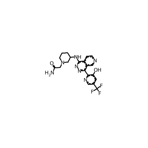 NC(=O)CN1CCCC(Nc2nnc(-c3ncc(C(F)(F)F)cc3O)c3cnccc23)C1